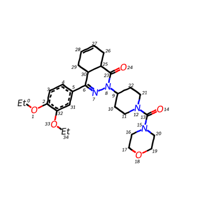 CCOc1ccc(C2=NN(C3CCN(C(=O)N4CCOCC4)CC3)C(=O)C3CC=CCC23)cc1OCC